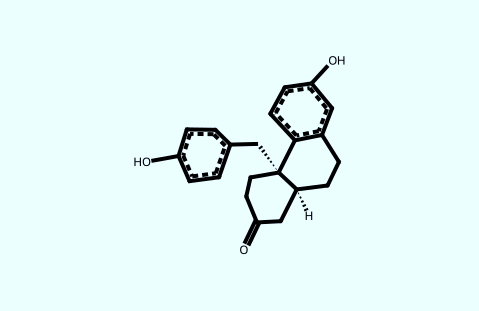 O=C1CC[C@@]2(Cc3ccc(O)cc3)c3ccc(O)cc3CC[C@H]2C1